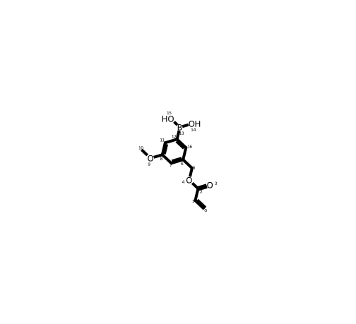 C=CC(=O)OCc1cc(OC)cc(B(O)O)c1